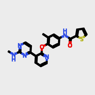 CNc1nccc(-c2cccnc2Oc2ccc(NC(=O)c3cccs3)cc2C)n1